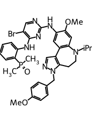 COc1ccc(Cn2ncc3c2CCN(C(C)C)c2cc(OC)c(Nc4ncc(Br)c(Nc5ccccc5P(C)(C)=O)n4)cc2-3)cc1